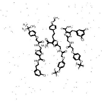 CC(C)(C)c1ccc(OCC(=O)NCc2nc(C(=O)NCCc3cccc(Cl)c3)cs2)cc1.CCOc1ccc(CCc2sc(CNC(=O)COc3ccc(OC(F)(F)F)cc3)nc2C(N)=O)cc1.NC(=O)c1nc(CNC(=O)COc2ccc(OC(F)(F)F)cc2)sc1Cc1cc(Cl)cc(Cl)c1